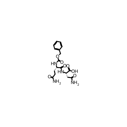 NC(=O)CC[C@H](NC(=O)OCc1ccccc1)C(=O)N[C@@H](CC(N)=O)C(=O)O